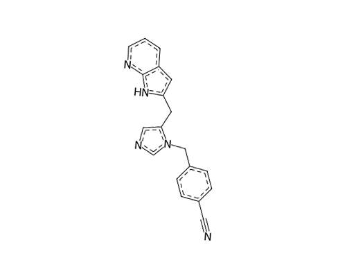 N#Cc1ccc(Cn2cncc2Cc2cc3cccnc3[nH]2)cc1